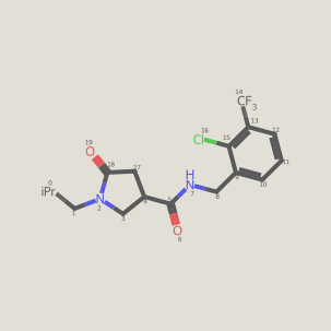 CC(C)CN1CC(C(=O)NCc2cccc(C(F)(F)F)c2Cl)CC1=O